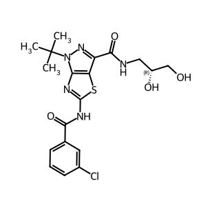 CC(C)(C)n1nc(C(=O)NC[C@@H](O)CO)c2sc(NC(=O)c3cccc(Cl)c3)nc21